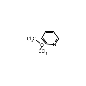 ClC(Cl)(Cl)OC(Cl)(Cl)Cl.c1ccncc1